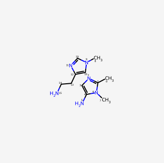 Cc1ncc(N)n1C.Cn1cnc(CCN)c1